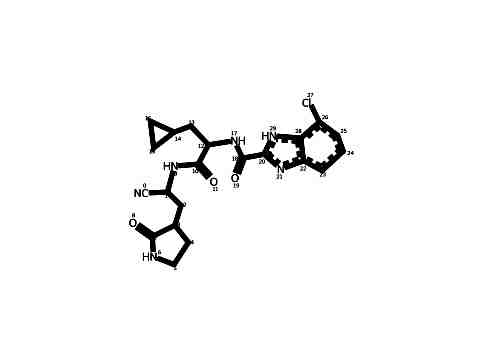 N#CC(CC1CCNC1=O)NC(=O)C(CC1CC1)NC(=O)c1nc2cccc(Cl)c2[nH]1